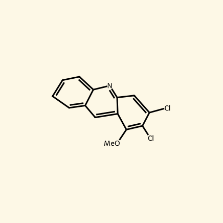 COc1c(Cl)c(Cl)cc2nc3ccccc3cc12